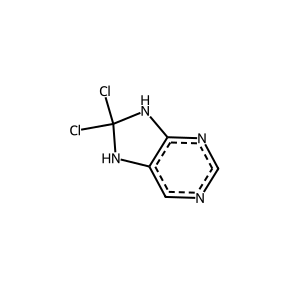 ClC1(Cl)Nc2cncnc2N1